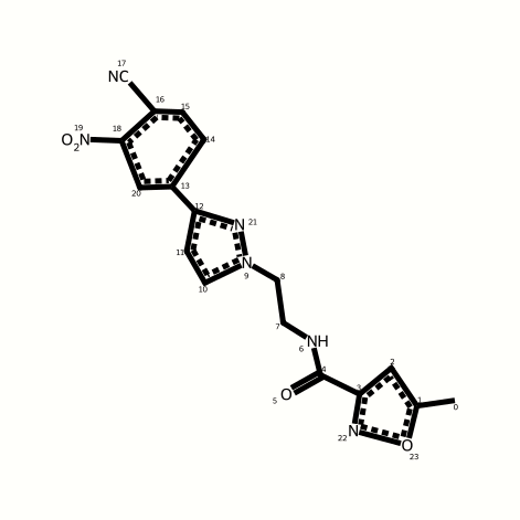 Cc1cc(C(=O)NCCn2ccc(-c3ccc(C#N)c([N+](=O)[O-])c3)n2)no1